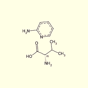 CC(C)[C@H](N)C(=O)O.Nc1ccccn1